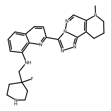 CN1CCCc2c1cnn1c(-c3ccc4cccc(NCC5(F)CCNCC5)c4n3)nnc21